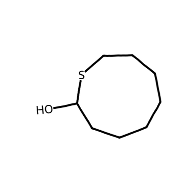 OC1CCCCCCCS1